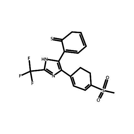 CS(=O)(=O)C1=CC=C(c2nc(C(F)(F)F)[nH]c2C2=CC=CCC2=S)CC1